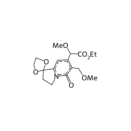 CCOC(=O)C(OC)c1cc2n(c(=O)c1COC)CCC21OCCO1